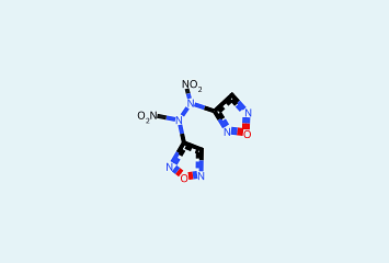 O=[N+]([O-])N(c1cnon1)N(c1cnon1)[N+](=O)[O-]